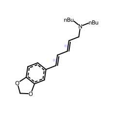 CCCCN(C/C=C/C=C/c1ccc2c(c1)OCO2)CCCC